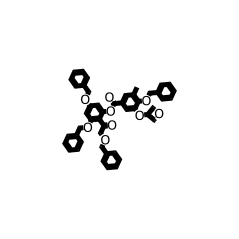 Cc1cc(C(=O)Oc2cc(OCc3ccccc3)cc(OCc3ccccc3)c2C(=O)COCc2ccccc2)cc(OC2COC2)c1OCc1ccccc1